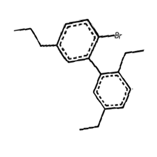 CCCc1ccc(Br)c(-c2cc(CC)c[c]c2CC)c1